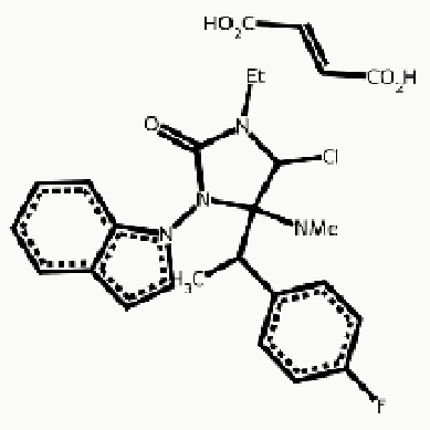 CCN1C(=O)N(n2ccc3ccccc32)C(NC)(C(C)c2ccc(F)cc2)C1Cl.O=C(O)C=CC(=O)O